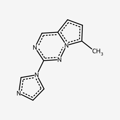 Cc1ccc2cnc(-n3ccnc3)nn12